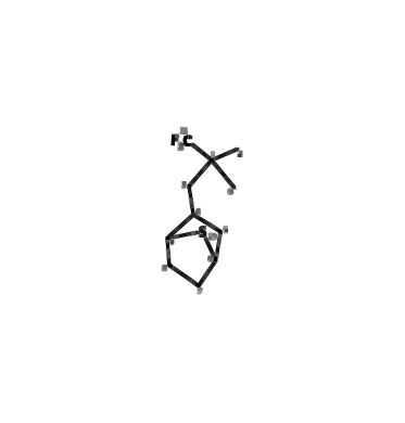 CC(C)(CC1CC2CCC1S2)C(F)(F)F